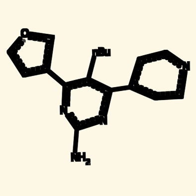 CCCCc1c(-c2ccncc2)nc(N)nc1-c1ccoc1